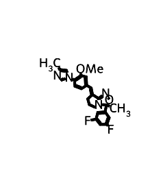 COc1cc(/C=C2\CCCN3C2=NOC3(C)c2cc(F)cc(F)c2)ccc1-n1cnc(C)c1